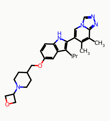 Cc1c(-c2[nH]c3ccc(OCC4CCN(C5COC5)CC4)cc3c2C(C)C)cn2cnnc2c1C